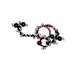 COc1ccc(C[C@@H]2NC(=O)[C@H]([C@@H](C)O)NC(=O)[C@@H]3[C@@H]4CCN3C(=O)[C@@H]3Cc5cn(c6ccc(F)cc56)CCCCCCN(Cc5ccc(cc5)CCNC(=O)[C@]5(C)CCCN5C2=O)C(=O)CCC(=O)N[C@@H](C)C(=O)N[C@H](CNC(=O)CCOCCOCC[N+](C)(C)CCNC(=O)Cc2c(C)n(C(=O)c5ccc(Cl)cc5)c5ccc(OC)cc25)C(=O)N[C@@H](Cc2cccc(c2)CNC(=O)CO4)C(=O)N3)cc1